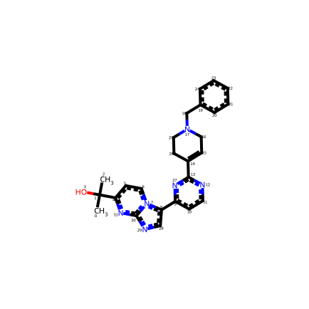 CC(C)(O)c1ccn2c(-c3ccnc(C4=CCN(Cc5ccccc5)CC4)n3)cnc2n1